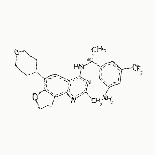 Cc1nc(N[C@H](C)c2cc(N)cc(C(F)(F)F)c2)c2cc(C3CCOCC3)c3c(c2n1)CCO3